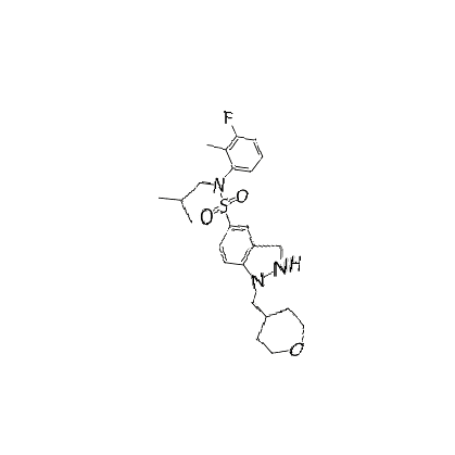 Cc1c(F)cccc1N(CC(C)C)S(=O)(=O)c1ccc2c(c1)CNN2CC1CCOCC1